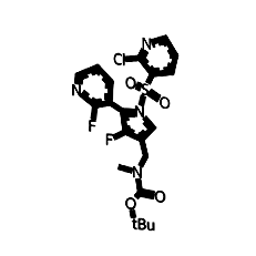 CN(Cc1cn(S(=O)(=O)c2cccnc2Cl)c(-c2cccnc2F)c1F)C(=O)OC(C)(C)C